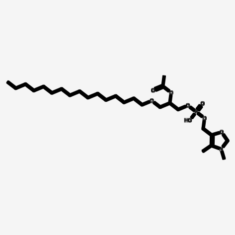 CCCCCCCCCCCCCCCCOCC(COP(=O)(O)OCC1=C(C)N(C)CO1)OC(C)=O